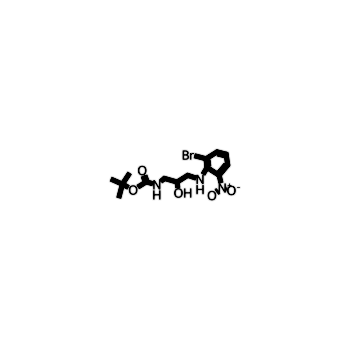 CC(C)(C)OC(=O)NCC(O)CNc1c(Br)cccc1[N+](=O)[O-]